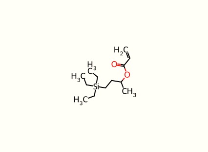 C=CC(=O)OC(C)CC[Si](CC)(CC)CC